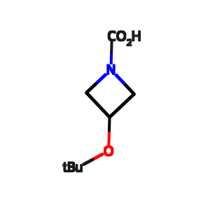 CC(C)(C)OC1CN(C(=O)O)C1